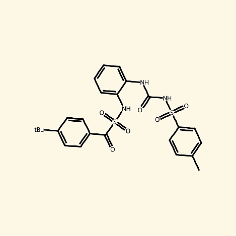 Cc1ccc(S(=O)(=O)NC(=O)Nc2ccccc2NS(=O)(=O)C(=O)c2ccc(C(C)(C)C)cc2)cc1